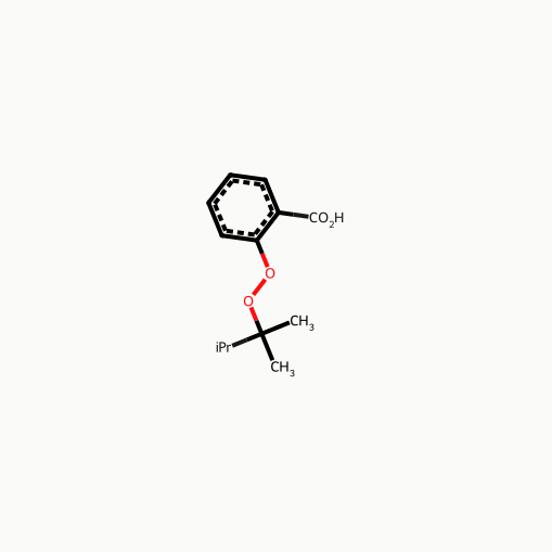 CC(C)C(C)(C)OOc1ccccc1C(=O)O